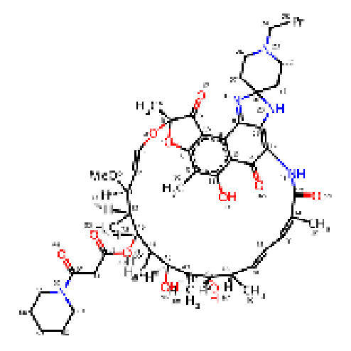 CO[C@H]1/C=C/O[C@@]2(C)Oc3c(C)c(O)c4c(c3C2=O)C2=NC3(CCN(CC(C)C)CC3)NC2=C(NC(=O)/C(C)=C\C=C\[C@H](C)[C@H](O)[C@@H](C)[C@@H](O)[C@@H](C)[C@H](OC(=O)CC(=O)N2CCCCC2)[C@@H]1C)C4=O